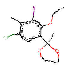 CCOc1c(C2(C)OCCO2)cc(Cl)c(C)c1I